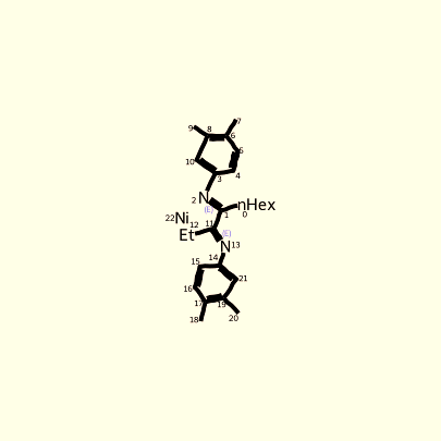 CCCCCCC(=N\c1ccc(C)c(C)c1)/C(CC)=N/c1ccc(C)c(C)c1.[Ni]